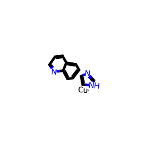 [Cu].c1c[nH]cn1.c1ccc2ncccc2c1